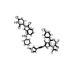 Cc1c(C#Cc2cnn(C[C@H]3CC[C@@H](Nc4cccc5c4CN(C4CCC(=O)NC4=O)C5=O)CC3)c2)sc2c1C(c1ccc(Cl)cc1)=N[C@@H](C)c1nnc(C)n1-2